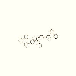 CC1(C)N=C(c2cncc(-c3ccc4c(ccc5c6ccc(-c7cncc(C8=NC(C)(C)C(C)(C)N8c8ccccc8)c7)cc6n(-c6ccccc6)c45)c3)c2)N(c2ccccc2)C1(C)C